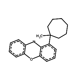 CC1(c2cccc3c2[N]c2ccccc2O3)CCCCCC1